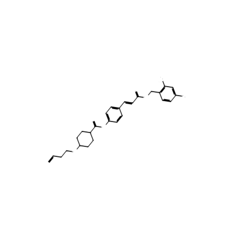 C=CCCOC1CCC(C(=O)Oc2ccc(/C=C/C(=O)OCc3ccc(N)cc3N)cc2)CC1